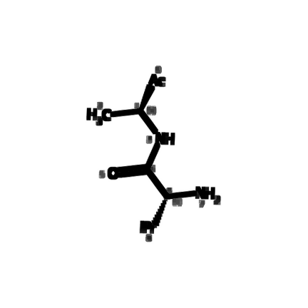 CC(=O)[C@H](C)NC(=O)[C@H](N)C(C)C